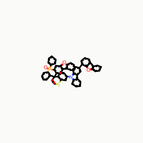 O=P1(c2ccccc2)c2ccccc2C2(c3ccccc3Sc3cc(-n4c5ccccc5c5cc(-c6cccc7c6oc6ccccc67)ccc54)ccc32)c2cc3c(cc21)oc1ccccc13